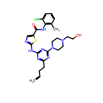 C=CCCc1nc(Nc2ncc(C(=O)Nc3c(C)cccc3Cl)s2)nc(N2CCN(CCO)CC2)n1